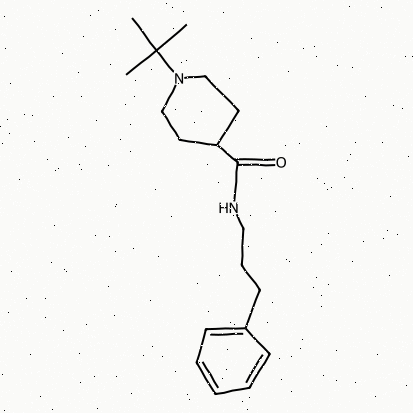 CC(C)(C)N1CCC(C(=O)NCCCc2ccccc2)CC1